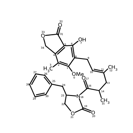 COc1c(C)c2c(c(O)c1C/C=C(\C)CC(C)C(=O)N1C(=O)OCC1Cc1ccccc1)C(=O)OC2